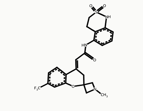 CN1CC2(C/C(=C\C(=O)Nc3cccc4c3CCS(=O)(=O)N4)c3ccc(C(F)(F)F)cc3O2)C1